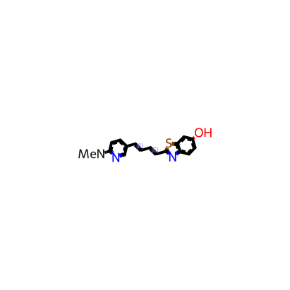 [11CH3]Nc1ccc(/C=C/C=C/c2nc3ccc(O)cc3s2)cn1